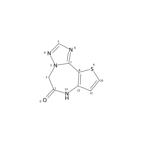 O=C1Cn2ncnc2-c2sccc2N1